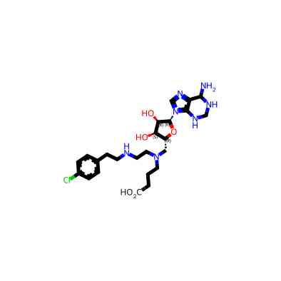 NC1NCNc2c1ncn2[C@@H]1O[C@H](CN(CCCC(=O)O)CCNCCc2ccc(Cl)cc2)[C@@H](O)[C@H]1O